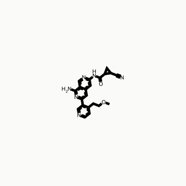 COCCc1ccncc1-c1cc2cc(NC(=O)C3CC3C#N)ncc2c(N)n1